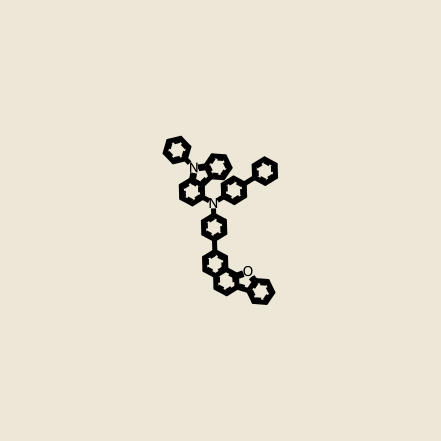 c1ccc(-c2ccc(N(c3ccc(-c4ccc5ccc6c7ccccc7oc6c5c4)cc3)c3cccc4c3c3ccccc3n4-c3ccccc3)cc2)cc1